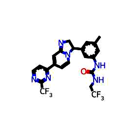 Cc1cc(NC(=O)NCC(F)(F)F)cc(C2CN=C3C=C(c4ccnc(C(F)(F)F)n4)C=CN32)c1